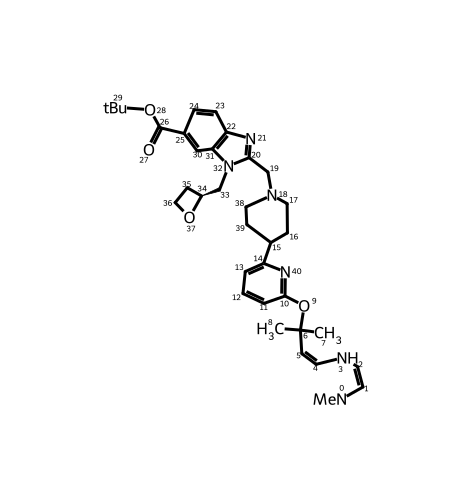 CN/C=C\N/C=C\C(C)(C)Oc1cccc(C2CCN(Cc3nc4ccc(C(=O)OC(C)(C)C)cc4n3C[C@@H]3CCO3)CC2)n1